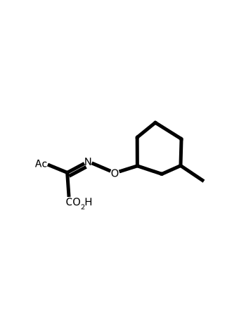 CC(=O)C(=NOC1CCCC(C)C1)C(=O)O